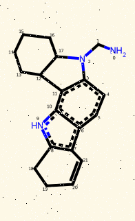 NCN1c2ccc3c4c([nH]c3c2C2CCCCC21)CCC=C4